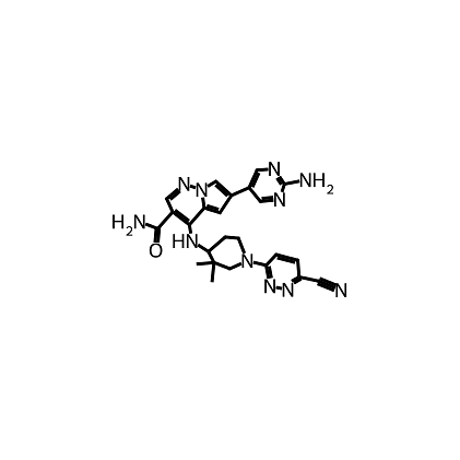 CC1(C)CN(c2ccc(C#N)nn2)CCC1Nc1c(C(N)=O)cnn2cc(-c3cnc(N)nc3)cc12